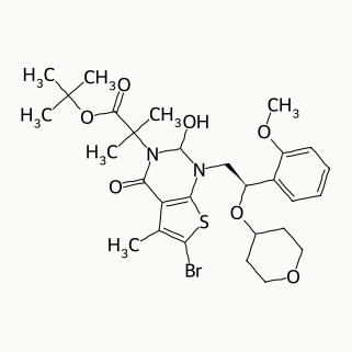 COc1ccccc1[C@H](CN1c2sc(Br)c(C)c2C(=O)N(C(C)(C)C(=O)OC(C)(C)C)C1O)OC1CCOCC1